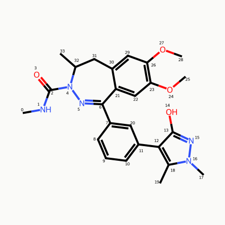 CNC(=O)N1N=C(c2cccc(-c3c(O)nn(C)c3C)c2)c2cc(OC)c(OC)cc2CC1C